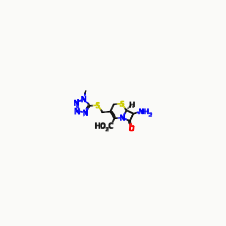 Cn1nnnc1SCC1=C(C(=O)O)N2C(=O)C(N)[C@@H]2SC1